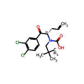 C=CC[C@@H](C(=O)c1ccc(Cl)c(Cl)c1)N(CC(C)(C)C)C(=O)O